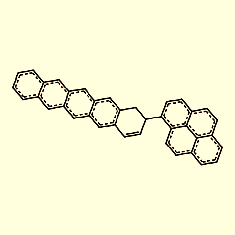 C1=CC(c2ccc3ccc4cccc5ccc2c3c45)Cc2cc3cc4cc5ccccc5cc4cc3cc21